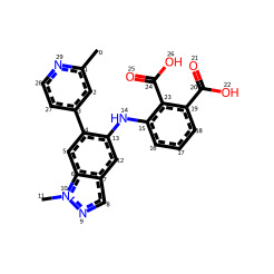 Cc1cc(-c2cc3c(cnn3C)cc2Nc2cccc(C(=O)O)c2C(=O)O)ccn1